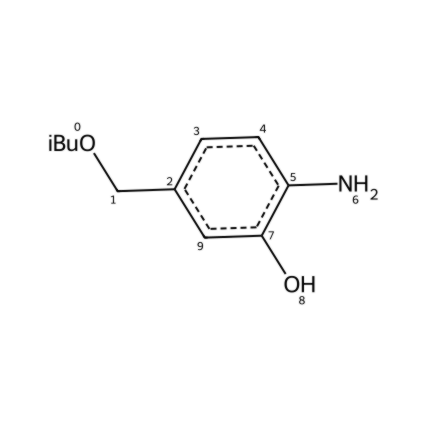 CC(C)COCc1ccc(N)c(O)c1